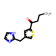 O=C(O)CCC(=O)c1cc(Cc2ncc[nH]2)cs1